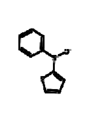 [O-][S+](c1ccccc1)c1cccs1